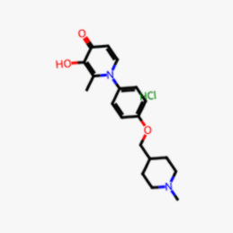 Cc1c(O)c(=O)ccn1-c1ccc(OCC2CCN(C)CC2)cc1.Cl